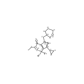 CCOC(=O)c1c(C(F)(F)F)c(C2CC2)nn1CC1CCCOC1